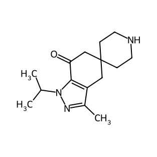 Cc1nn(C(C)C)c2c1CC1(CCNCC1)CC2=O